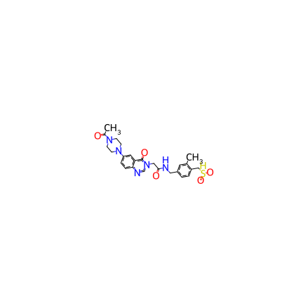 CC(=O)N1CCN(c2ccc3ncn(CC(=O)NCc4ccc(C[SH](=O)=O)c(C)c4)c(=O)c3c2)CC1